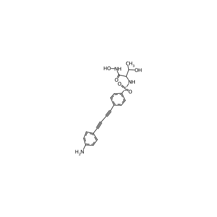 CC(O)C(NS(=O)(=O)c1ccc(C#CC#Cc2ccc(N)cc2)cc1)C(=O)NO